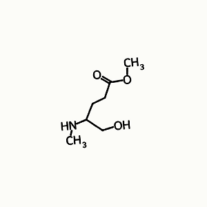 CNC(CO)CCC(=O)OC